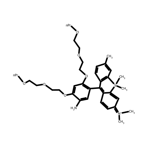 CCCOCCOCCOc1cc(OCCOCCOCCC)c(C2=C3C=CC(=[N+](C)C)C=C3[Si](C)(C)c3cc(C)ccc32)cc1N